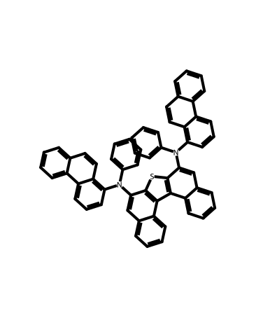 c1ccc(N(c2cccc3c2ccc2ccccc23)c2cc3ccccc3c3c2sc2c(N(c4ccccc4)c4cccc5c4ccc4ccccc45)cc4ccccc4c23)cc1